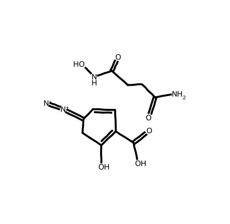 NC(=O)CCC(=O)NO.[N-]=[N+]=C1C=CC(C(=O)O)=C(O)C1